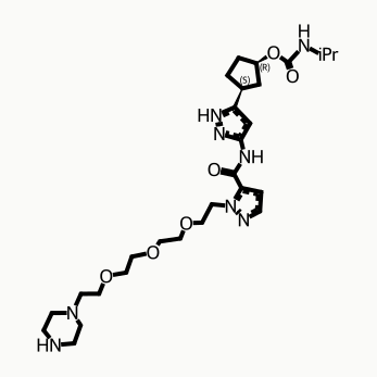 CC(C)NC(=O)O[C@@H]1CC[C@H](c2cc(NC(=O)c3ccnn3CCOCCOCCOCCN3CCNCC3)n[nH]2)C1